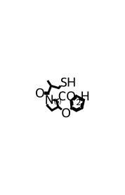 CC(CS)C(=O)N1CCC(Oc2ccccc2)[C@H]1C(=O)O